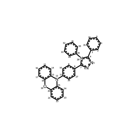 c1ccc(-c2nnc(-c3ccc(N4c5ccccc5Oc5ccccc54)cc3)n2-c2ccccc2)cc1